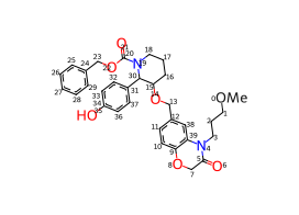 COCCCN1C(=O)COc2ccc(COC3CCCN(C(=O)OCc4ccccc4)C3c3ccc(O)cc3)cc21